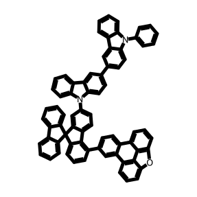 c1ccc(-n2c3ccccc3c3cc(-c4ccc5c(c4)c4ccccc4n5-c4ccc5c(c4)C4(c6ccccc6-c6ccccc64)c4cccc(-c6ccc7c(c6)c6cccc8oc9cccc7c9c86)c4-5)ccc32)cc1